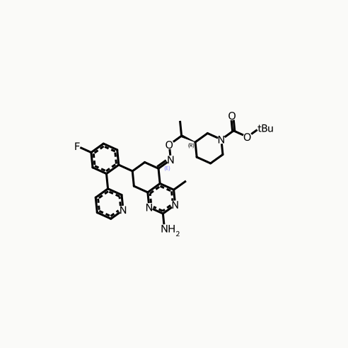 Cc1nc(N)nc2c1/C(=N/OC(C)[C@@H]1CCCN(C(=O)OC(C)(C)C)C1)CC(c1ccc(F)cc1-c1cccnc1)C2